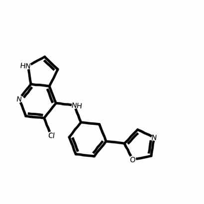 Clc1cnc2[nH]ccc2c1NC1C=CC=C(c2cnco2)C1